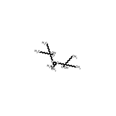 CCCCCCCCC(CCCCCCCC)C(CCCCOc1cc(CN(C)C)cc(OCCCCC(C(=O)O)C(CCCCCCCC)CCCCCCCC)c1)C(=O)O